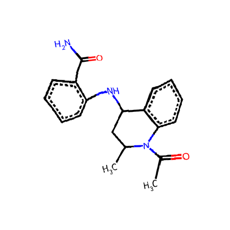 CC(=O)N1c2ccccc2C(Nc2ccccc2C(N)=O)CC1C